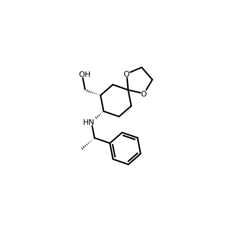 C[C@H](N[C@H]1CCC2(C[C@H]1CO)OCCO2)c1ccccc1